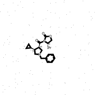 CC(C)[C@H]1COC(=O)N1C(=O)[C@H]1CN(Cc2ccccc2)C[C@H]1C1CC1